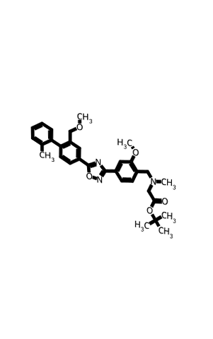 COCc1cc(-c2nc(-c3ccc(CN(C)CC(=O)OC(C)(C)C)c(OC)c3)no2)ccc1-c1ccccc1C